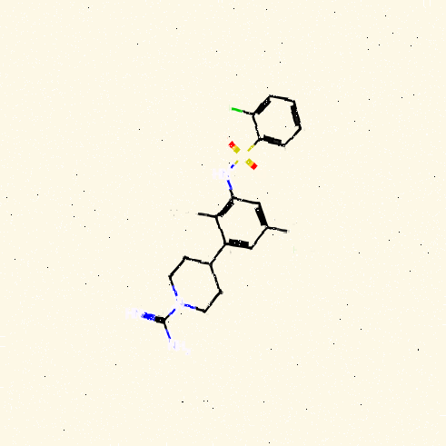 COc1c(NS(=O)(=O)c2ccccc2Cl)cc(C(F)(F)F)cc1C1CCN(C(=N)N)CC1.Cl